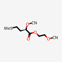 CSCC[C@@H](OC#N)C(=O)OCCOC#N